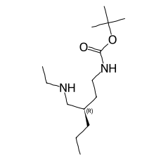 CCC[C@H](CCNC(=O)OC(C)(C)C)CNCC